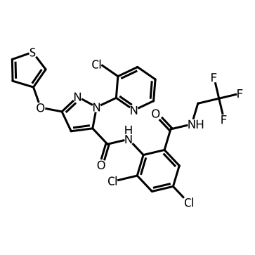 O=C(NCC(F)(F)F)c1cc(Cl)cc(Cl)c1NC(=O)c1cc(Oc2ccsc2)nn1-c1ncccc1Cl